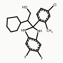 Cc1cc(Cl)ccc1C1(C(CO)C2CCCCC2)Nc2cc(F)c(F)cc2N1